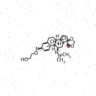 CN(C)/N=C1\C[C@@]2(C)[C@@H](CC[C@@]23OCOC32COCO2)[C@@H]2CCC3=C/C(=N/OCCO)C=C[C@]3(C)[C@@H]12